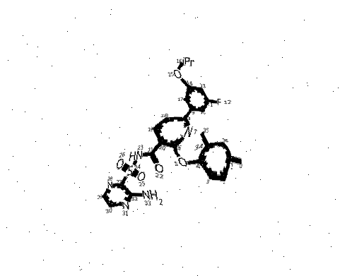 Cc1ccc(Oc2nc(-c3cc(F)cc(OC(C)C)c3)ccc2C(=O)NS(=O)(=O)c2nccnc2N)c(C)c1